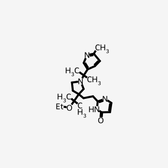 CCOC(C)(C)C1(CCc2nccc(=O)[nH]2)CCN(C(C)(C)c2ccc(C)nc2)C1